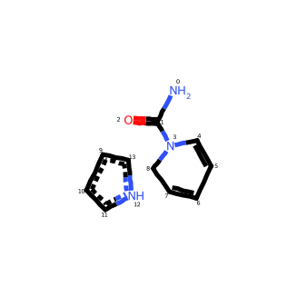 NC(=O)N1C=CC=CC1.c1cc[nH]c1